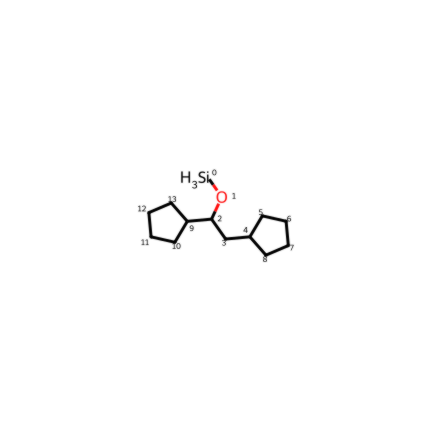 [SiH3]OC(CC1CCCC1)C1CCCC1